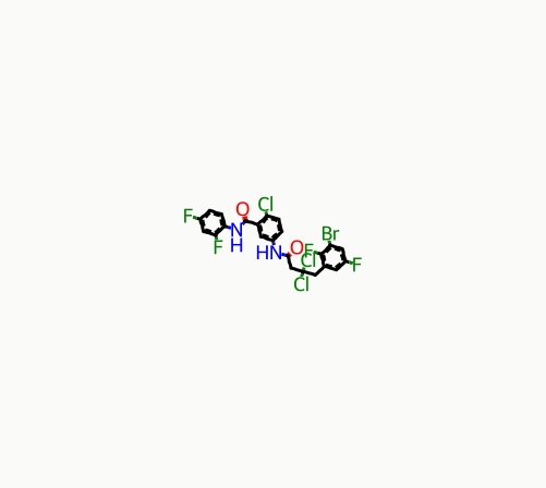 O=C(CC(Cl)(Cl)Cc1cc(F)cc(Br)c1F)Nc1ccc(Cl)c(C(=O)Nc2ccc(F)cc2F)c1